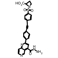 NNC(=O)c1cc(-c2ccc(C#Cc3ccc(S(=O)(=O)N4CCC4C(=O)O)cc3)cc2)nc2ccncc12